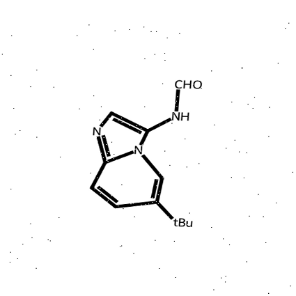 CC(C)(C)c1ccc2ncc(NC=O)n2c1